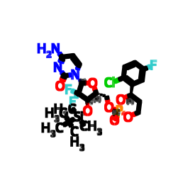 CC(C)(C)[Si](C)(C)O[C@@H]1[C@@H](CO[P@]2(=O)OCC[C@H](c3cc(F)ccc3Cl)O2)O[C@@H](n2ccc(N)nc2=O)C1(F)F